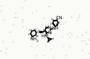 N#Cc1ccc(Nc2ncc(C#C[C@H]3CCC[C@@H](N)C3)c(NC3CC3)n2)cc1